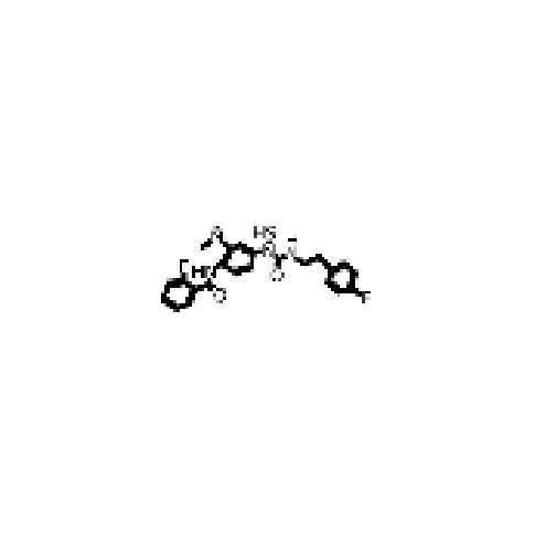 CN(C)c1cc(N(S)C(=O)NCCc2ccc(F)cc2)ccc1NC(=O)c1ccccc1F